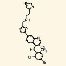 Cc1cc(Br)cc(Cl)c1Nc1c(C#N)cnc2cc(-c3ccc(CNCCc4c[nH]cn4)o3)ccc12